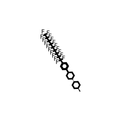 C[C@H]1CC[C@H](C2CCC(c3ccc(C(F)(F)C(F)(F)C(F)(F)C(F)(F)C(F)(F)C(F)(F)C(F)(F)C(F)(F)C(F)(F)F)cc3)CC2)CC1